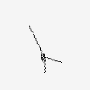 CCCCCCCCCCCCCCCCCCCN1C=CN(CCCCCCCC)C1CCCCCCCCCC